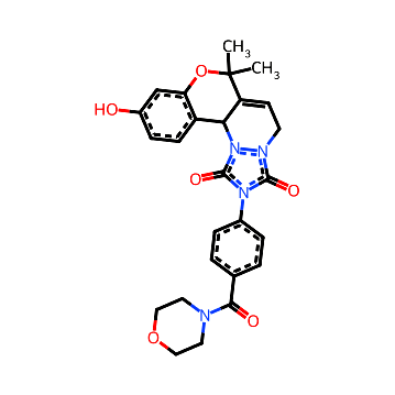 CC1(C)Oc2cc(O)ccc2C2C1=CCn1c(=O)n(-c3ccc(C(=O)N4CCOCC4)cc3)c(=O)n12